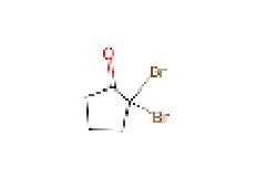 O=C1CCCC1(Br)Br